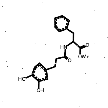 COC(=O)C(Cc1ccccc1)NC(=O)CCc1ccc(O)c(O)c1